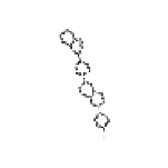 Fc1ccc(-c2ccc3cc(-c4ccc(-c5cnc6ccccc6c5)cc4)ccc3c2)cc1